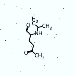 CC(=O)CCC(C=O)NC(C)C